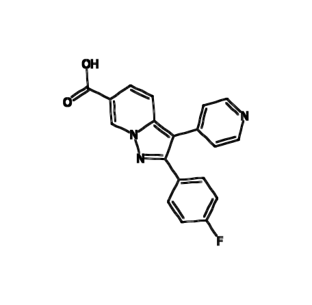 O=C(O)c1ccc2c(-c3ccncc3)c(-c3ccc(F)cc3)nn2c1